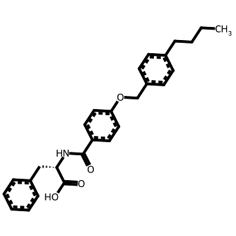 CCCCc1ccc(COc2ccc(C(=O)N[C@@H](Cc3ccccc3)C(=O)O)cc2)cc1